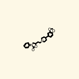 O=C1OC(CCN2CCC(c3ccc4c(c3)OCO4)CC2)CN1c1ccccc1